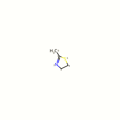 CC1=NCCS1